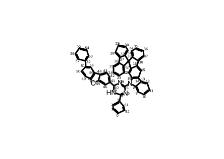 c1ccc(C2=NC(n3c4ccccc4c4cc5c(cc43)C3(c4ccccc4-c4ccccc43)c3ccccc3-5)=NC(c3ccc4c(c3)oc3ccc(-c5ccccc5)cc34)N2)cc1